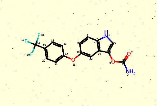 NC(=O)Oc1c[nH]c2ccc(Oc3ccc(C(F)(F)F)cc3)cc12